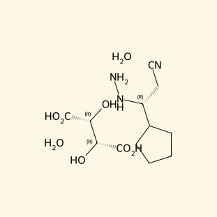 N#CC[C@@H](NN)C1CCCC1.O.O.O=C(O)[C@H](O)[C@@H](O)C(=O)O